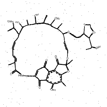 COC(C)C1/C=C/C=C(/C)C(=O)NC2=CC(=O)c3c(c(O)c(C)c4c3C(=O)C(C)(O/C=C/C(OCC3OCOC3C(C)OC)C(C)C(OC(C)=O)C(C)C(O)C(C)C1O)O4)C2=O